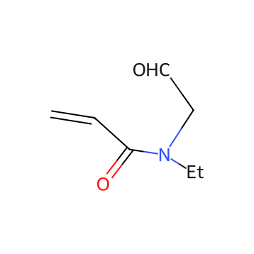 C=CC(=O)N(CC)CC=O